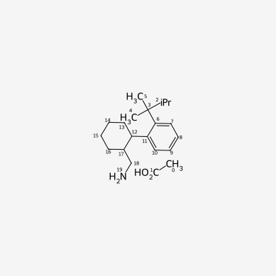 CC(=O)O.CC(C)C(C)(C)c1ccccc1C1CCCCC1CN